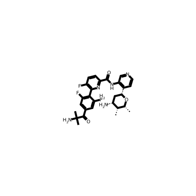 C[C@@H]1[C@H](N)C[C@H](c2ccncc2NC(=O)c2ccc(F)c(-c3c(F)cc(C(=O)C(C)(C)N)cc3P)n2)O[C@@H]1C